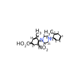 Cc1ccccc1N1CCN(c2c(C)cc(C(=O)O)cc2[N+](=O)[O-])CC1